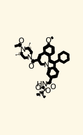 COc1ccc2c(c1)C=C(C(=O)N1C[C@@H](C)N(C(C)=O)[C@@H](C)C1)Cn1c-2c(C2CCCCC2)c2ccc(C(=O)NS(=O)(=O)N(C)C)cc21